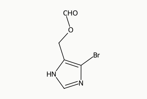 O=COCc1[nH]cnc1Br